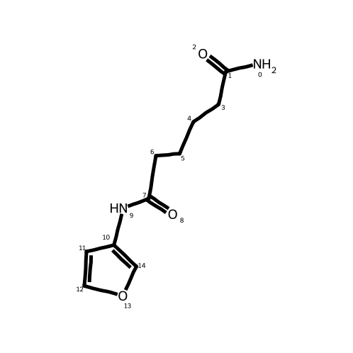 NC(=O)CCCCC(=O)Nc1ccoc1